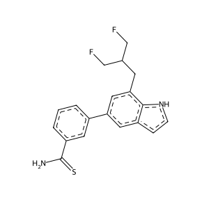 NC(=S)c1cccc(-c2cc(CC(CF)CF)c3[nH]ccc3c2)c1